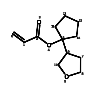 C=CC(=O)OC1(C2CCOC2)CCCC1